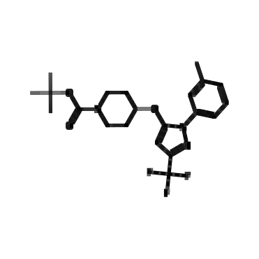 Cc1cccc(-n2nc(C(F)(F)F)cc2OC2CCN(C(=O)OC(C)(C)C)CC2)c1